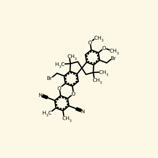 COc1cc2c(c(CBr)c1OC)C(C)(C)CC21CC(C)(C)c2c1cc1c(c2CBr)Oc2c(C#N)c(C)c(C)c(C#N)c2O1